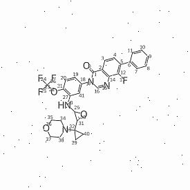 O=c1c2ccc(-c3ccccc3)c(F)c2ncn1-c1ccc(OC(F)(F)F)c(NC2OC2C2(N3CCOCC3)CC2)c1